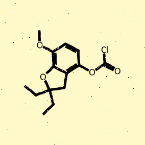 CCC1(CC)Cc2c(OC(=O)Cl)ccc(OC)c2O1